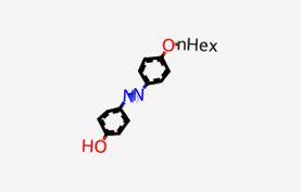 CCCCCCOc1ccc(/N=N/c2ccc(O)cc2)cc1